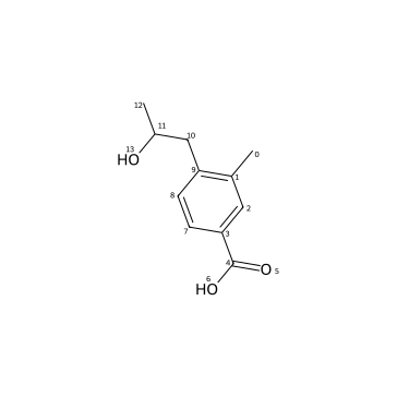 Cc1cc(C(=O)O)ccc1CC(C)O